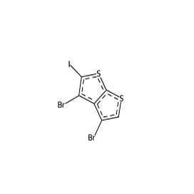 Brc1csc2sc(I)c(Br)c12